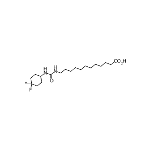 O=C(O)CCCCCCCCCCCNC(=O)NC1CCC(F)(F)CC1